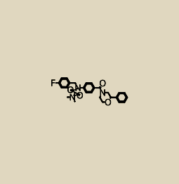 CN(C)S(=O)(=O)N(Cc1ccc(F)cc1)c1ccc(C(=O)N2CCOC(c3ccccc3)C2)cc1